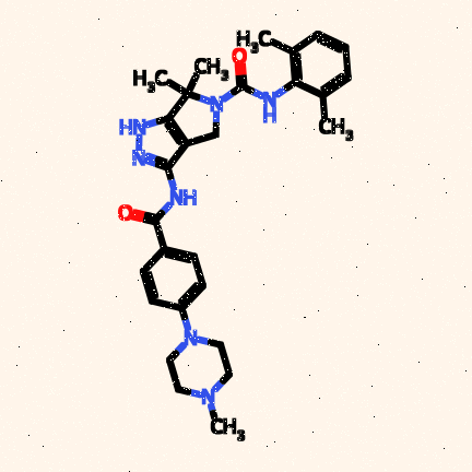 Cc1cccc(C)c1NC(=O)N1Cc2c(NC(=O)c3ccc(N4CCN(C)CC4)cc3)n[nH]c2C1(C)C